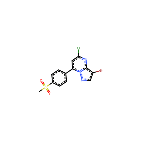 CS(=O)(=O)c1ccc(-c2cc(Cl)nc3c(Br)cnn23)cc1